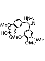 COc1ccc(-c2[nH]nnc2-c2cc(OC)c(OC)c(OC)c2)cc1SP(=O)(O)O